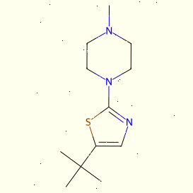 CN1CCN(c2ncc(C(C)(C)C)s2)CC1